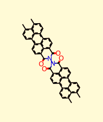 Cc1ccc2c3ccc4c5c(ccc(c6ccc(C)c1c26)c53)C(=O)N(N1C(=O)c2ccc3c5ccc(C)c6c(C)ccc(c7ccc(c2c37)C1=O)c65)C4=O